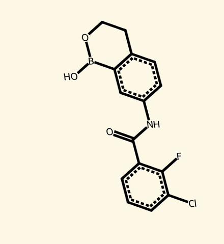 O=C(Nc1ccc2c(c1)B(O)OCC2)c1cccc(Cl)c1F